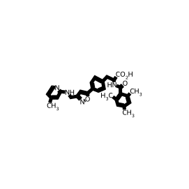 Cc1ccnc(NCc2cc(-c3ccc(CC(NC(=O)c4c(C)cc(C)cc4C)C(=O)O)cc3)on2)c1